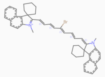 CN1/C(=C/C=C/C=C(Br)/C=C/C=C/C2=[N+](C)c3ccc4ccccc4c3C23CCCCC3)C2(CCCCC2)c2c1ccc1ccccc21